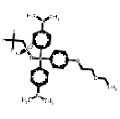 CCOCCOc1ccc(S(OS(=O)(=O)CC(F)(F)F)(c2ccc(N(C)C)cc2)c2ccc(N(C)C)cc2)cc1